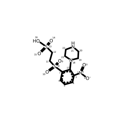 O=[N+]([O-])c1cccc(S(=O)(=O)CCS(=O)(=O)O)c1N1CCNCC1